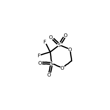 O=S1(=O)OCOS(=O)(=O)C1(F)F